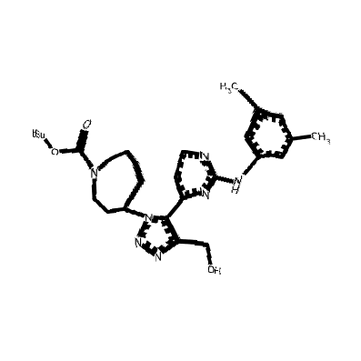 Cc1cc(C)cc(Nc2nccc(-c3c(CO)nnn3C3CCN(C(=O)OC(C)(C)C)CC3)n2)c1